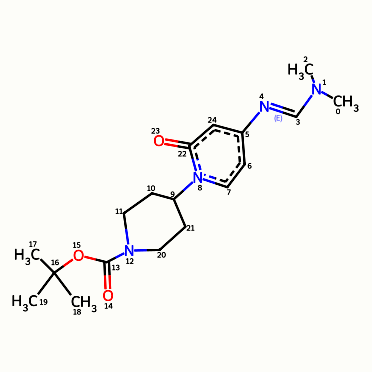 CN(C)/C=N/c1ccn(C2CCN(C(=O)OC(C)(C)C)CC2)c(=O)c1